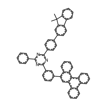 CC1(C)c2ccccc2-c2ccc(-c3ccc(-c4nc(-c5ccccc5)nc(-c5cccc(-c6cc7c8ccccc8c8ccccc8c7c7ccccc67)c5)n4)cc3)cc21